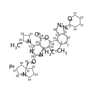 Cc1ccc2c(cnn2C2CCCCO2)c1-c1oc(=O)c2c(N3CC[C@H]3C)nc(OC[C@@]34CCCN3C[C@H](F)C4)nc2c1C